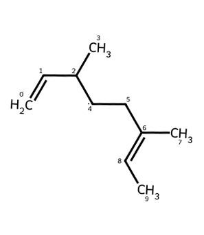 C=CC(C)[CH]CC(C)=CC